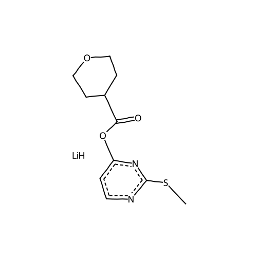 CSc1nccc(OC(=O)C2CCOCC2)n1.[LiH]